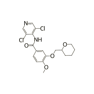 COc1ccc(C(=O)Nc2c(Cl)cncc2Cl)cc1OCC1CCCCO1